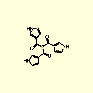 O=C(c1cc[nH]c1)P(C(=O)c1cc[nH]c1)C(=O)c1cc[nH]c1